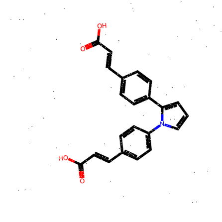 O=C(O)C=Cc1ccc(-c2cccn2-c2ccc(C=CC(=O)O)cc2)cc1